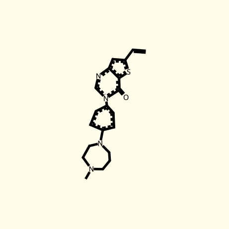 C=Cc1cc2ncn(-c3ccc(N4CCCN(C)CC4)cc3)c(=O)c2s1